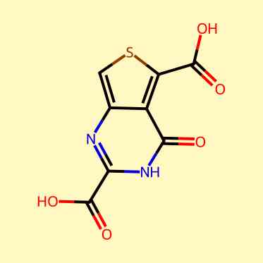 O=C(O)c1nc2csc(C(=O)O)c2c(=O)[nH]1